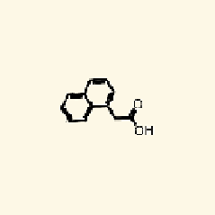 O=C(O)Cc1cccc2cc[c]cc12